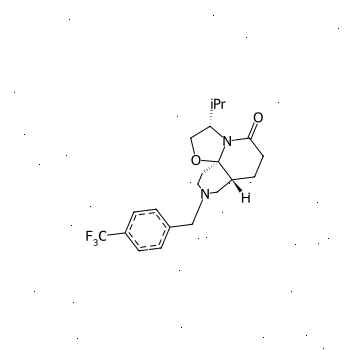 CC(C)[C@H]1CO[C@]23CCN(Cc4ccc(C(F)(F)F)cc4)C[C@H]2CCC(=O)N13